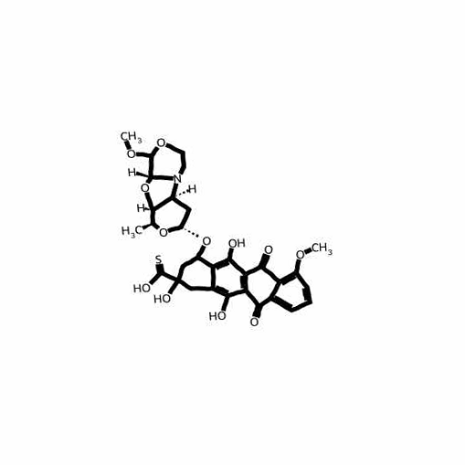 COc1cccc2c1C(=O)c1c(O)c3c(c(O)c1C2=O)CC(O)(C(O)=S)CC3O[C@H]1C[C@H]2[C@H](O[C@@H]3C(OC)OCCN32)[C@H](C)O1